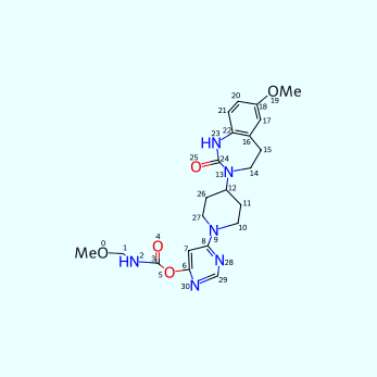 COCNC(=O)Oc1cc(N2CCC(N3CCc4cc(OC)ccc4NC3=O)CC2)ncn1